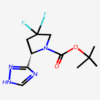 CC(C)(C)OC(=O)N1CC(F)(F)C[C@H]1c1nc[nH]n1